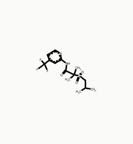 CC(C)CS(=O)(=O)C(C)(C)C(=O)Nc1cc(C(F)(F)F)ccn1